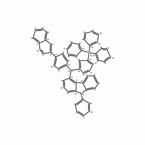 c1ccc(-n2c3ccccc3c3c(N(c4ccc(-c5ccc6ccccc6c5)cc4)c4cccc([Si](c5ccccc5)(c5ccccc5)c5ccccc5)c4)cccc32)cc1